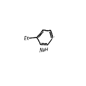 CCc1cc[c]cc1.[NaH]